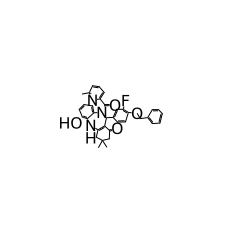 Cc1cccc(C(=O)N2c3cccc(O)c3NC3=C(C(=O)CC(C)(C)C3)C2c2ccc(OCc3ccccc3)c(F)c2)n1